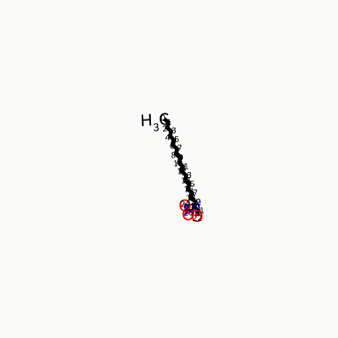 CCCCC/C=C/C/C=C/C/C=C/C/C=C/C/C=C/CC([C]=O)[N+](=O)[O-]